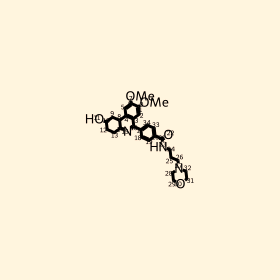 COc1cc2c(cc1OC)C1CC(O)CCC1N=C2c1ccc(C(=O)NCCCN2CCOCC2)cc1